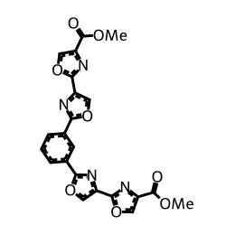 COC(=O)c1coc(-c2coc(-c3cccc(-c4nc(-c5nc(C(=O)OC)co5)co4)c3)n2)n1